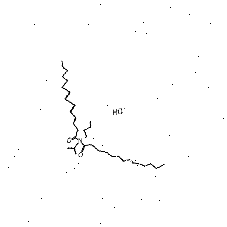 CCCCCCCCCCCCCC(=O)[N+](CCCC)(C(=O)CCCCCCCCCCCCC)C(C)C.[OH-]